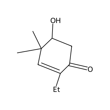 CCC1=CC(C)(C)C(O)CC1=O